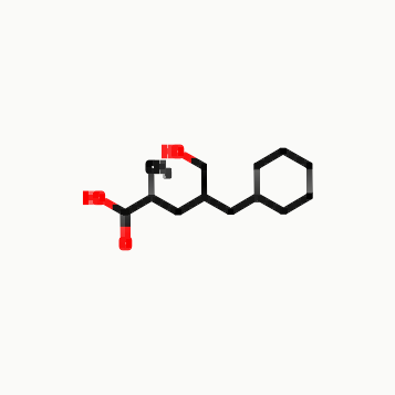 CC(CC(CO)C[C]1CCCCC1)C(=O)O